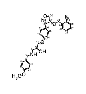 COc1ccc(CNC[C@H](O)COc2ccc(-c3nocc3OCc3ccccc3F)cc2)cc1